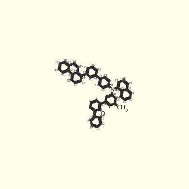 CC1C=C(c2cccc3c2oc2ccccc23)C=C(N(c2ccc(-c3cccc(-c4cccc5c4ccc4ccccc45)c3)cc2)c2cccc3ccccc23)C1